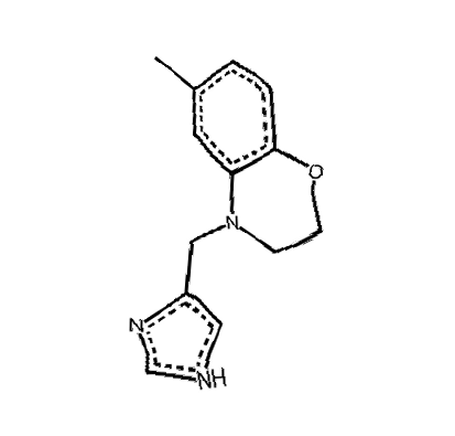 Cc1ccc2c(c1)N(Cc1c[nH]cn1)CCO2